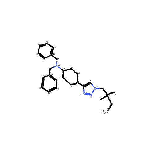 CC(C)(CC(=O)O)Cn1cc(C2CCC(N(Cc3ccccc3)Cc3ccccc3)CC2)nn1